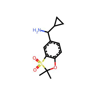 CC1(C)Oc2ccc(C(N)C3CC3)cc2S1(=O)=O